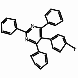 Fc1ccc(-c2c(-c3ccccc3)nc(-c3ccccc3)nc2-c2ccccc2)cc1